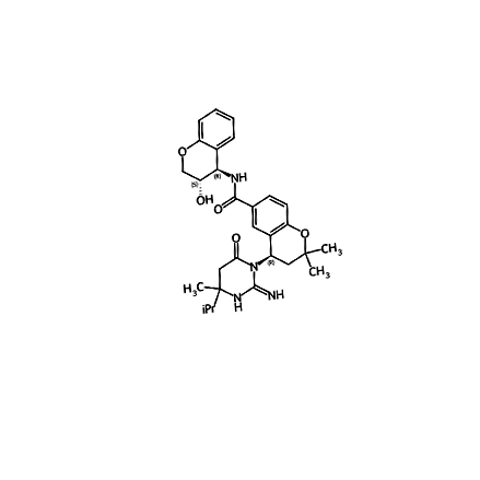 CC(C)C1(C)CC(=O)N([C@@H]2CC(C)(C)Oc3ccc(C(=O)N[C@@H]4c5ccccc5OC[C@H]4O)cc32)C(=N)N1